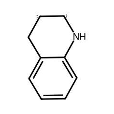 [C]1[C]Nc2ccccc2C1